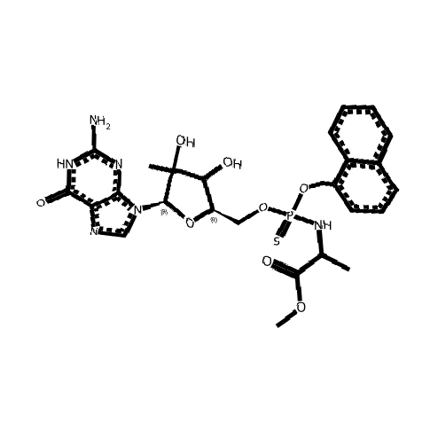 COC(=O)C(C)NP(=S)(OC[C@H]1O[C@@H](n2cnc3c(=O)[nH]c(N)nc32)C(C)(O)C1O)Oc1cccc2ccccc12